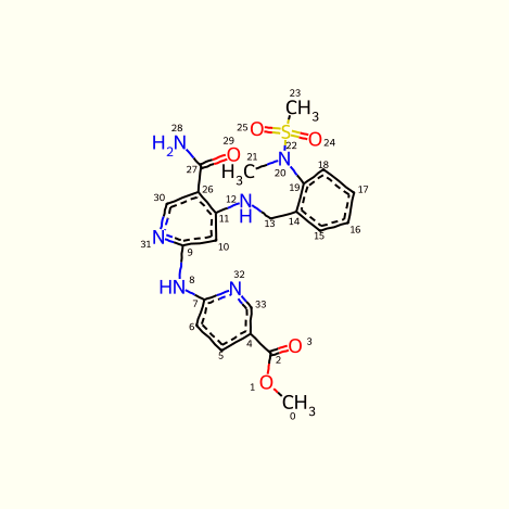 COC(=O)c1ccc(Nc2cc(NCc3ccccc3N(C)S(C)(=O)=O)c(C(N)=O)cn2)nc1